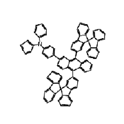 c1ccc(N(c2ccccc2)c2ccc(-c3ccc4c(-c5ccc6c(c5)C5(c7ccccc7-c7ccccc75)c5ccccc5-6)c5ccccc5c(-c5ccc6c(c5)C5(c7ccccc7-c7ccccc75)c5ccccc5-6)c4c3)cc2)cc1